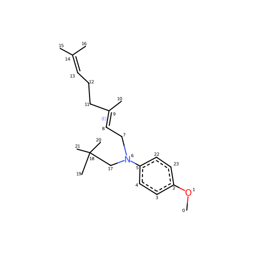 COc1ccc(N(C/C=C(\C)CCC=C(C)C)CC(C)(C)C)cc1